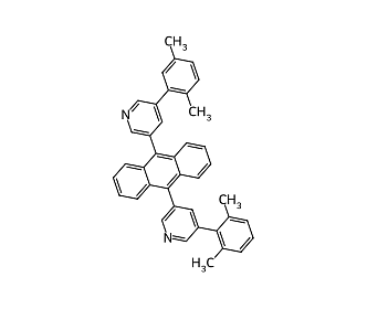 Cc1ccc(C)c(-c2cncc(-c3c4ccccc4c(-c4cncc(-c5c(C)cccc5C)c4)c4ccccc34)c2)c1